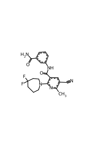 Cc1nc(N2CCCC(F)(F)CC2)c(C(=O)Nc2cccc(C(N)=O)c2)cc1C#N